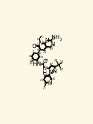 CCn1c(=O)c(-c2ccc(F)c(NC(=O)Nc3cc(C(C)(C)C)nn3-c3ccc(C)nc3)c2)cc2cnc(N)nc21